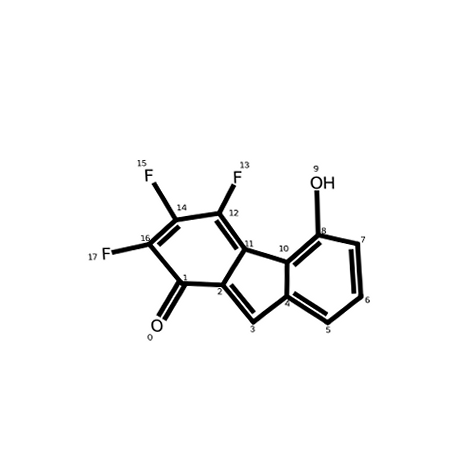 O=C1C2=Cc3cccc(O)c3C2=C(F)C(F)=C1F